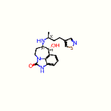 C[C@@H](CCc1cnsc1)N[C@@H]1CCn2c(=O)[nH]c3cccc(c32)[C@H]1O